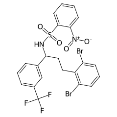 O=[N+]([O-])c1ccccc1S(=O)(=O)NC(CCc1c(Br)cccc1Br)c1cccc(C(F)(F)F)c1